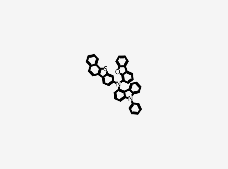 c1ccc(-n2c3ccccc3c3c(N(c4ccc5c(c4)sc4c6ccccc6ccc54)c4cccc5c4oc4ccccc45)cccc32)cc1